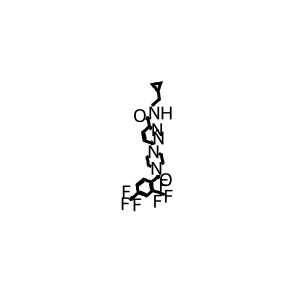 O=C(NCCC1CC1)c1ccc(N2CCN(C(=O)c3ccc(C(F)(F)F)cc3C(F)(F)F)CC2)nn1